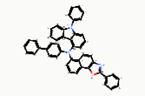 c1ccc(-c2ccc(N(c3cccc4c3ccc3nc(-c5ccccc5)oc34)c3cccc4c3c3ccccc3n4-c3ccccc3)cc2)cc1